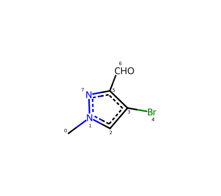 Cn1cc(Br)c(C=O)n1